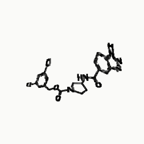 O=C(NC1CCN(C(=O)OCc2cc(Cl)cc(Cl)c2)C1)c1ccc2[nH]nnc2c1